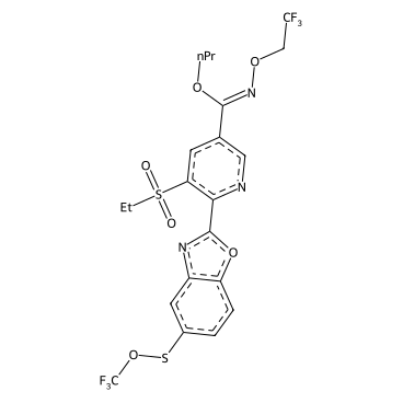 CCCO/C(=N\OCC(F)(F)F)c1cnc(-c2nc3cc(SOC(F)(F)F)ccc3o2)c(S(=O)(=O)CC)c1